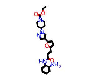 CCOC(=O)N1CCC(n2cc(-c3ccc(C=CC(=O)Nc4ccccc4N)o3)cn2)CC1